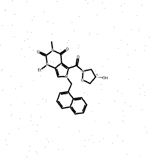 CCn1c(=O)n(C)c(=O)c2c(C(=O)N3C[C@H](O)CO3)n(Cc3cccc4ccccc34)cc21